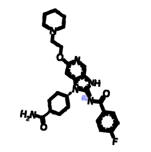 NC(=O)[C@H]1CC[C@H](n2/c(=N/C(=O)c3ccc(F)cc3)[nH]c3cnc(OCCN4CCCCC4)cc32)CC1